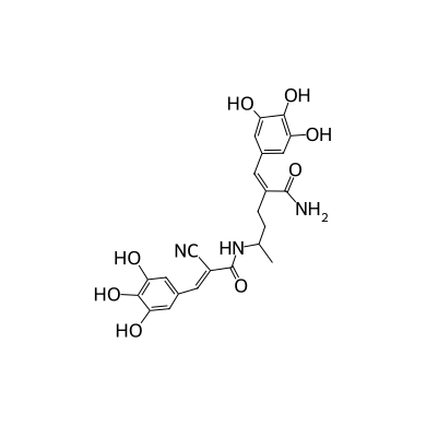 CC(CC/C(=C/c1cc(O)c(O)c(O)c1)C(N)=O)NC(=O)/C(C#N)=C/c1cc(O)c(O)c(O)c1